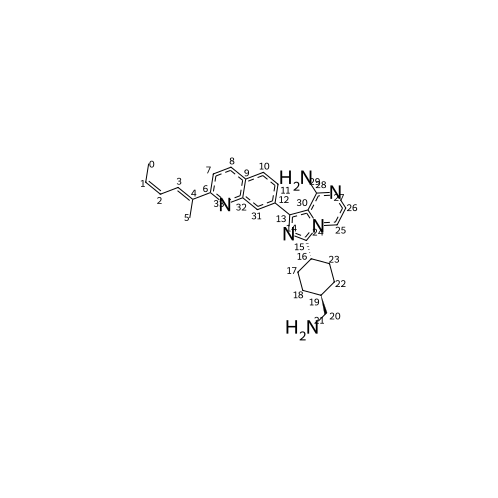 C/C=C\C=C(/C)c1ccc2ccc(-c3nc([C@H]4CC[C@H](CN)CC4)n4ccnc(N)c34)cc2n1